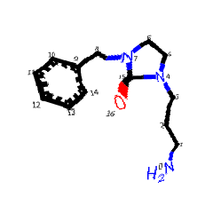 NCCCN1CCN(Cc2ccccc2)C1=O